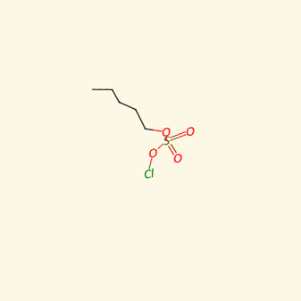 CCCCCOS(=O)(=O)OCl